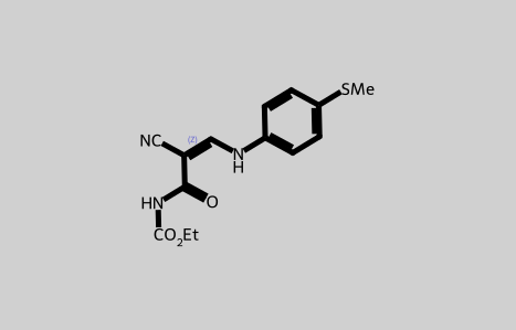 CCOC(=O)NC(=O)/C(C#N)=C\Nc1ccc(SC)cc1